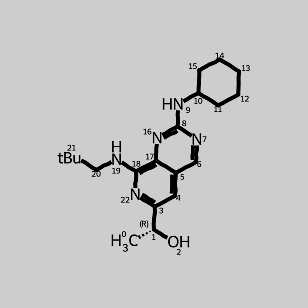 C[C@@H](O)c1cc2cnc(NC3CCCCC3)nc2c(NCC(C)(C)C)n1